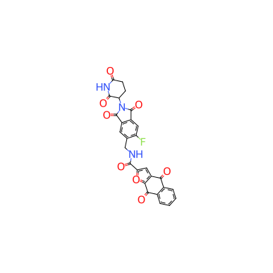 O=C1CCC(N2C(=O)c3cc(F)c(CNC(=O)c4cc5c(o4)C(=O)c4ccccc4C5=O)cc3C2=O)C(=O)N1